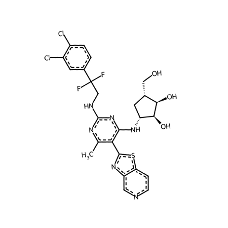 Cc1nc(NCC(F)(F)c2ccc(Cl)c(Cl)c2)nc(N[C@@H]2C[C@H](CO)[C@@H](O)[C@H]2O)c1-c1nc2cnccc2s1